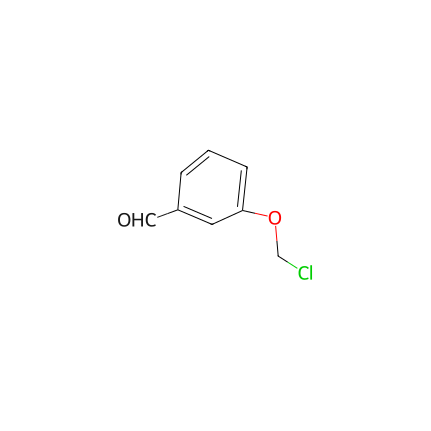 O=Cc1cccc(OCCl)c1